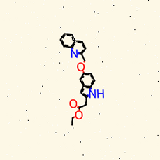 CCOC(=O)Cc1cc2cc(OCc3ccc4ccccc4n3)ccc2[nH]1